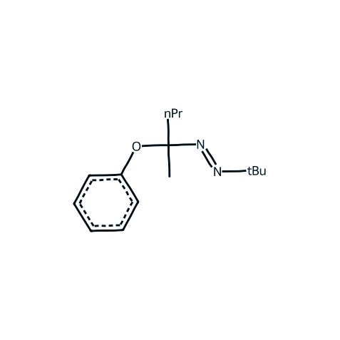 [CH2]CCC(C)(N=NC(C)(C)C)Oc1ccccc1